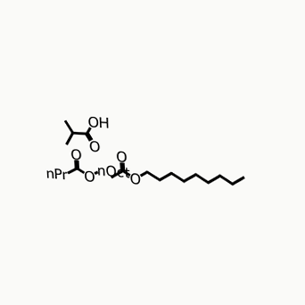 CC(C)C(=O)O.CCCCCCCCCOC(C)=O.CCCCCCCCOC(=O)CCC